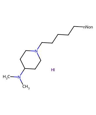 CCCCCCCCCCCCCCN1CCC(N(C)C)CC1.I